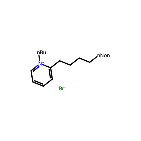 CCCCCCCCCCCCCc1cccc[n+]1CCCC.[Br-]